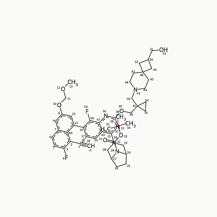 C#Cc1c(F)ccc2cc(OCOC)cc(-c3c(F)cc4c(N5CC6CCC(C5)N6C(=O)OC(C)(C)C)nc(OCC5(CN6CCC7(CC6)CC(CO)C7)CC5)nc4c3F)c12